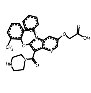 Cc1cccc(C)c1Oc1c(C(=O)N2CCNCC2)c2ncc(OCC(=O)O)cc2n1-c1ccccc1